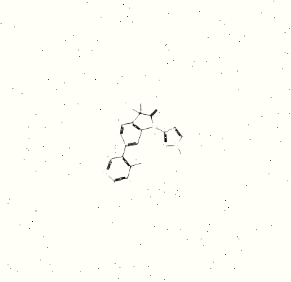 Cn1ccc(N2C(=O)C(C)(C)c3ccc(-c4cnccc4F)cc32)n1